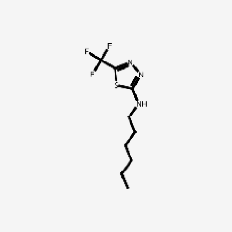 CCCCCCNc1nnc(C(F)(F)F)s1